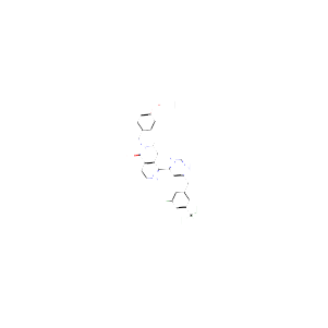 COc1ccc(CN2C(=O)c3ccnc(-c4cc(Cc5cc(F)cc(C(F)(F)F)c5)ncn4)c3CC2C)cc1